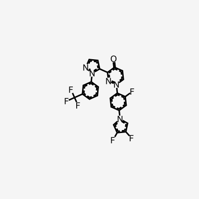 O=c1ccn(-c2ccc(-n3cc(F)c(F)c3)cc2F)nc1-c1ccnn1-c1cccc(C(F)(F)F)c1